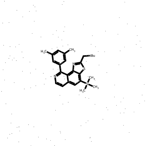 Cc1cc(C)cc(-c2nccc3cc([Si](C)(C)C)c4sc(CC(C)(C)C)nc4c23)c1